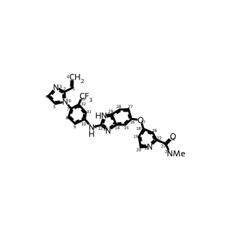 C=Cc1nccn1-c1ccc(Nc2nc3cc(Oc4ccnc(C(=O)NC)c4)ccc3[nH]2)cc1C(F)(F)F